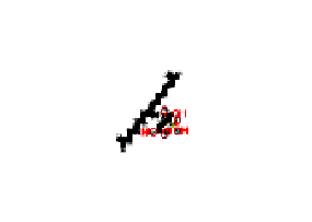 CC(C)CCCCCC[CH]([Na])CCCCCCC(C)C.O=C(O)CC(C(=O)O)S(=O)(=O)O